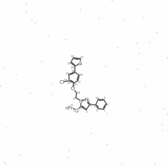 CCCOc1cc(-c2ccccc2)nn1CCOc1ccc(-c2cccs2)cc1Cl